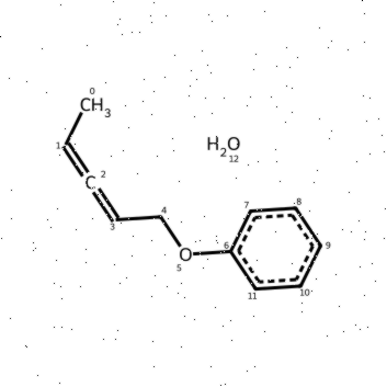 CC=C=CCOc1ccccc1.O